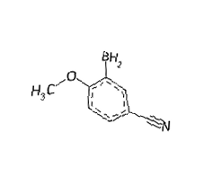 Bc1cc(C#N)ccc1OC